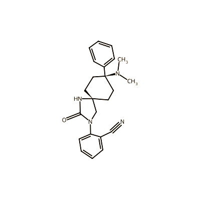 CN(C)[C@]1(c2ccccc2)CC[C@@]2(CC1)CN(c1ccccc1C#N)C(=O)N2